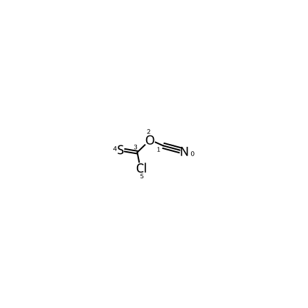 N#COC(=S)Cl